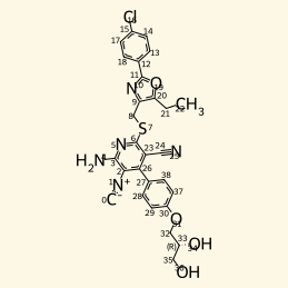 [C-]#[N+]c1c(N)nc(SCc2nc(-c3ccc(Cl)cc3)oc2CC)c(C#N)c1-c1ccc(OC[C@H](O)CO)cc1